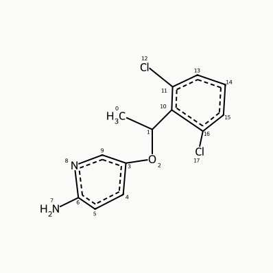 CC(Oc1ccc(N)nc1)c1c(Cl)cccc1Cl